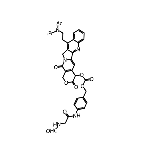 CC(=O)N(CCc1c2c(nc3ccccc13)-c1cc3c(c(=O)n1C2)COC(=O)C3OC(=O)OCc1ccc(NC(=O)CNC=O)cc1)C(C)C